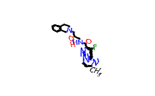 Cc1ccn2nc(C(=O)NCC(O)CN3CCc4ccccc4C3)c(F)c2n1